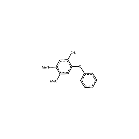 CNc1cc(C)c(Oc2ccccc2)cc1OC